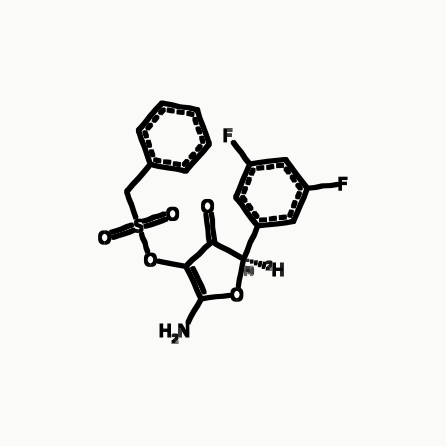 [2H][C@]1(c2cc(F)cc(F)c2)OC(N)=C(OS(=O)(=O)Cc2ccccc2)C1=O